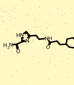 NC(=O)c1nc(CCNC(=O)[CH]CC2CCCCC2)c[nH]1